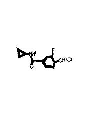 O=Cc1ccc(C(=O)NC2CC2)cc1F